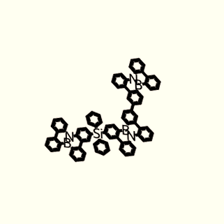 c1ccc([Si](c2ccccc2)(c2ccc3c(c2)-c2ccccc2N2B3c3ccc(-c4ccc5c(c4)-c4ccccc4N4B5c5ccccc5-c5ccccc54)cc3-c3ccccc32)c2ccc3c(c2)-c2ccccc2B2c4ccccc4-c4ccccc4N23)cc1